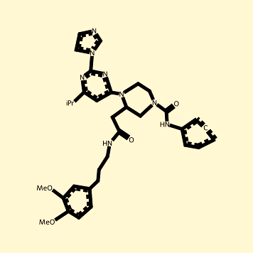 COc1ccc(CCCNC(=O)CC2CN(C(=O)Nc3ccccc3)CCN2c2cc(C(C)C)nc(-n3ccnc3)n2)cc1OC